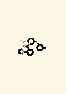 C[C@@H]1CC[C@@H](Oc2cccc(F)c2)CN1C(=O)c1ccccc1-n1nccn1